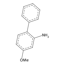 COc1ccc(-c2ccccc2)c(N)c1